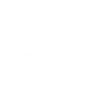 Cc1ccc(-c2ccccc2)c(C)c1Br